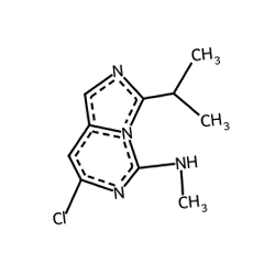 CNc1nc(Cl)cc2cnc(C(C)C)n12